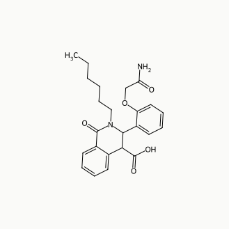 CCCCCCN1C(=O)c2ccccc2C(C(=O)O)C1c1ccccc1OCC(N)=O